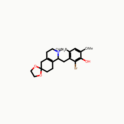 Bc1cc(OC)c(O)c(Br)c1CC1C2=C(CCN1C=O)CC1(CC2)OCCO1